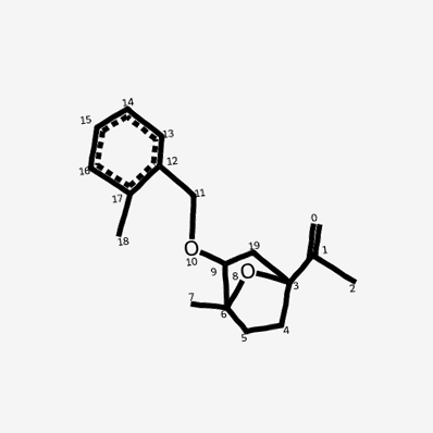 C=C(C)C12CCC(C)(O1)C(OCc1ccccc1C)C2